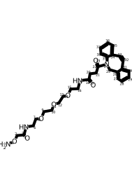 NOCC(=O)NCCOCCOCCOCCNC(=O)CCC(=O)N1Cc2ccccc2C#Cc2ccccc21